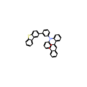 c1ccc(N(c2cccc(-c3ccc4sc5ccccc5c4c3)c2)c2ccccc2-c2ccc3ccccc3c2)cc1